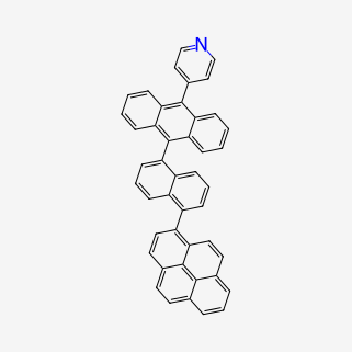 c1cc2ccc3ccc(-c4cccc5c(-c6c7ccccc7c(-c7ccncc7)c7ccccc67)cccc45)c4ccc(c1)c2c34